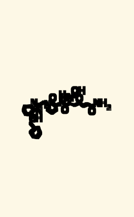 NC(=O)/C=C/CC[C@H](NC(=O)O)C(=O)Nc1cccn(Cc2nc3cccc(OCc4ccccc4)c3[nH]2)c1=O